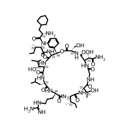 CC[C@H](C)[C@H](NC(=O)[C@@H](N)CC1CCCCC1)C(=O)N[C@@H]1C(=O)N[C@@H]([C@H](O)C(C)C)C(=O)N[C@@H](CC(C)C)C(=O)N[C@H](CCCNC(=N)N)C(=O)N[C@@H]([C@@H](C)CC)C(=O)N[C@@H]([C@H](C)O)C(=O)NCC(=O)NC([C@H](O)C(N)=O)C(=O)N[C@@H](CO)C(=O)O[C@@H]1c1ccccc1